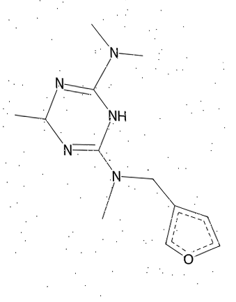 CC1N=C(N(C)C)NC(N(C)Cc2ccoc2)=N1